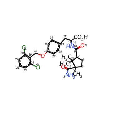 CC1(C(N)=O)CCC(C(=O)N[C@@H](Cc2ccc(OCc3c(Cl)cccc3Cl)cc2)C(=O)O)C1(C)C